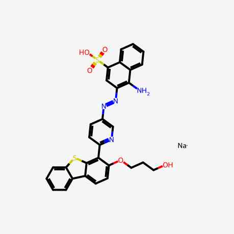 Nc1c(N=Nc2ccc(-c3c(OCCCO)ccc4c3sc3ccccc34)nc2)cc(S(=O)(=O)O)c2ccccc12.[Na]